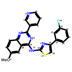 COc1ccc2nc(-c3cccnc3)nc(Nc3nc(-c4cccc(F)c4)cs3)c2c1